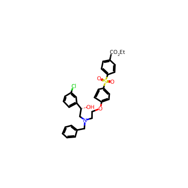 CCOC(=O)c1ccc(S(=O)(=O)c2ccc(OCCN(Cc3ccccc3)C[C@@H](O)c3cccc(Cl)c3)cc2)cc1